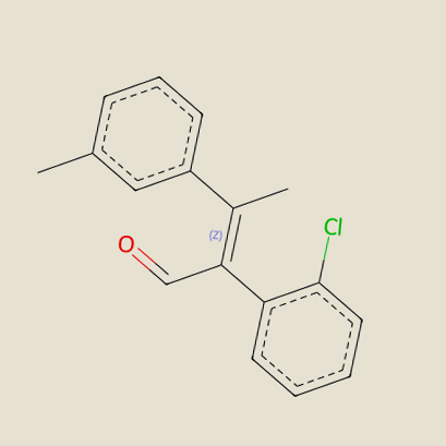 C/C(=C(/C=O)c1ccccc1Cl)c1cccc(C)c1